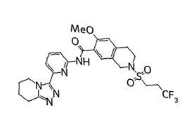 COc1cc2c(cc1C(=O)Nc1cccc(-c3nnc4n3CCCC4)n1)CN(S(=O)(=O)CCC(F)(F)F)CC2